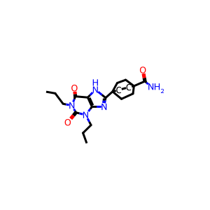 CCCn1c(=O)c2[nH]c(C34CCC(C(N)=O)(CC3)CC4)nc2n(CCC)c1=O